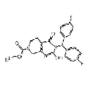 CC(C)(C)OC(=O)N1CCc2c(nc(O)n(C(c3ccc(F)cc3)c3ccc(F)cc3)c2=O)C1